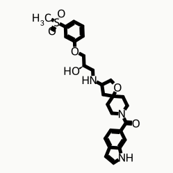 CS(=O)(=O)c1cccc(OC[C@@H](O)CNC2COC3(CCN(C(=O)c4ccc5cc[nH]c5c4)CC3)C2)c1